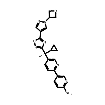 C[C@](c1ccc(-c2ccc(N)nc2)nc1)(c1noc(-c2cnn(C3COC3)c2)n1)C1CC1